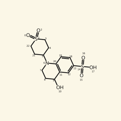 O=S1(=O)CCC(N2CCC(O)c3cc(S(=O)(=O)O)ccc32)CC1